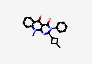 CC1CC(c2nc3c(c(=O)c4ccccc4n3C)c(=O)n2-c2ccccc2)C1